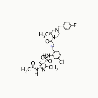 CC(=O)Nc1nc(C)c(S(=O)(=O)Nc2cc(Cl)ccc2/C=C/C(=O)N2CCN(Cc3ccc(F)cc3)C[C@H]2C)s1